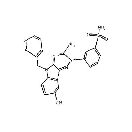 Cc1ccc2c(c1)/C(=N/N(C(N)=S)c1cccc(S(N)(=O)=O)c1)C(=O)N2Cc1ccccc1